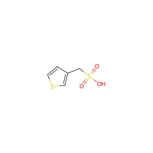 O=S(=O)(O)Cc1ccsc1